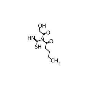 CCCCC(=O)N(C(=N)S)C(=O)CO